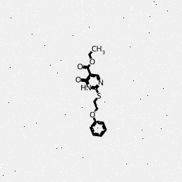 CCOC(=O)c1cnc(SCCOc2ccccc2)[nH]c1=O